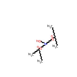 CCCCCCCCC(CCCCCC)C(=O)OCCCCCCN(CCCO)CCCCOC(=O)C(CCCCCC)CCCCCCCC